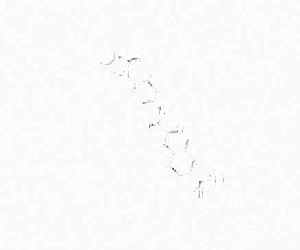 N=C(N)c1ccc2cc(C(=O)Nc3ccc(N4CC(C(=O)O)=NC4=O)cc3)ncc2c1